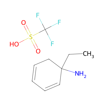 CCC1(N)C=CC=CC1.O=S(=O)(O)C(F)(F)F